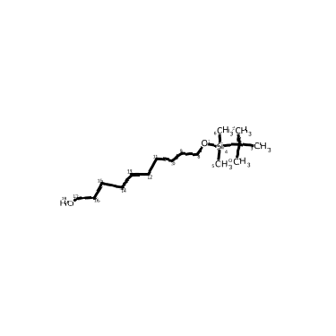 CC(C)(C)[Si](C)(C)OCCCCCCCCCCO